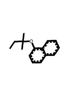 CCC(C)(C)Oc1cccc2ccccc12